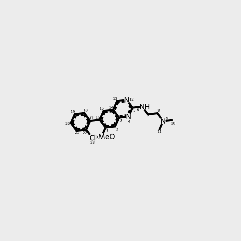 COc1cc2nc(NCCN(C)C)ncc2cc1-c1ccccc1Cl